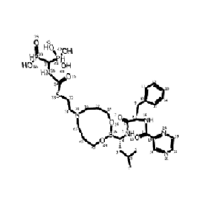 CC(C)C[C@@H](NC(=O)[C@@H](Cc1ccccc1)NC(=O)c1cnccn1)B1OCCCN(CCSC(=O)NC([PH](=O)O)[PH](O)(O)O)CCCO1